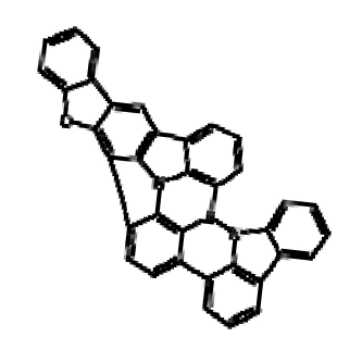 c1ccc2c(c1)oc1c2cc2c3cccc4c3n3c5c6c(ccc5c1c23)-c1cccc2c3ccccc3n(c12)B46